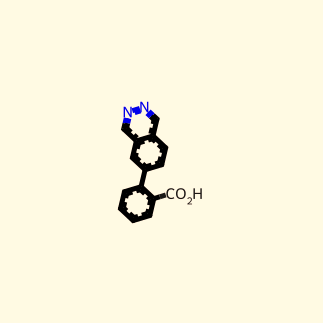 O=C(O)c1ccccc1-c1ccc2cnncc2c1